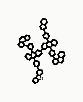 c1cc(-c2c3ccccc3c(-c3ccc(-c4ccc5oc6ccccc6c5c4)cc3)c3ccc(-c4ccc5c(-c6ccc(-c7ccc8ccccc8c7)cc6)c6ccccc6c(-c6ccc(-c7cccc8ccc9ccccc9c78)cc6)c5c4)cc23)cc(-c2cccc3ccc4ccccc4c23)c1